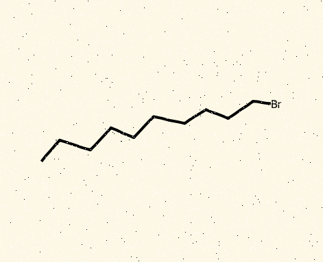 C[CH]CCCCCCCCBr